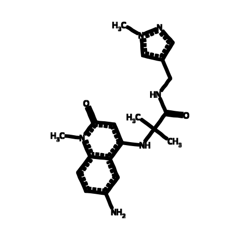 Cn1cc(CNC(=O)C(C)(C)Nc2cc(=O)n(C)c3ccc(N)cc23)cn1